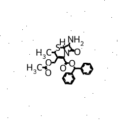 CC(=O)OCC1=C(C(=O)OC(c2ccccc2)c2ccccc2)N2C(=O)C(N)[C@H]2SC1C